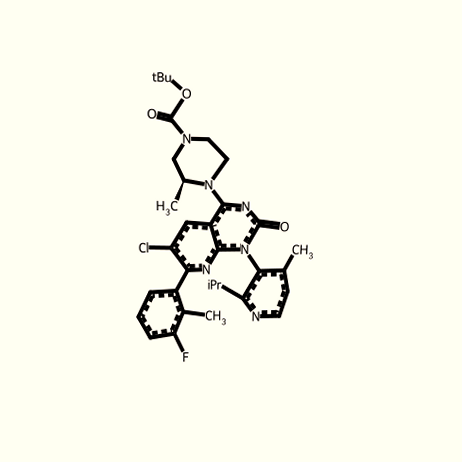 Cc1ccnc(C(C)C)c1-n1c(=O)nc(N2CCN(C(=O)OC(C)(C)C)C[C@@H]2C)c2cc(Cl)c(-c3cccc(F)c3C)nc21